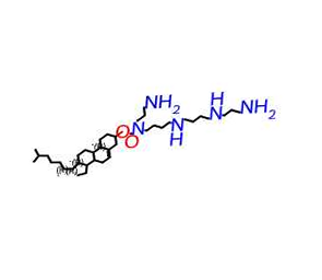 CC(C)CCC[C@@H](C)[C@H]1CCC2C3CC=C4CC(OC(=O)N(CCCN)CCCCNCCCCNCCCN)CC[C@]4(C)C3CC[C@@]21C